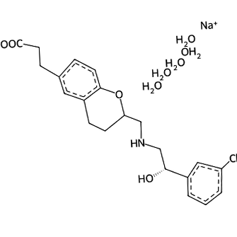 O.O.O.O.O.O=C([O-])CCc1ccc2c(c1)CCC(CNC[C@@H](O)c1cccc(Cl)c1)O2.[Na+]